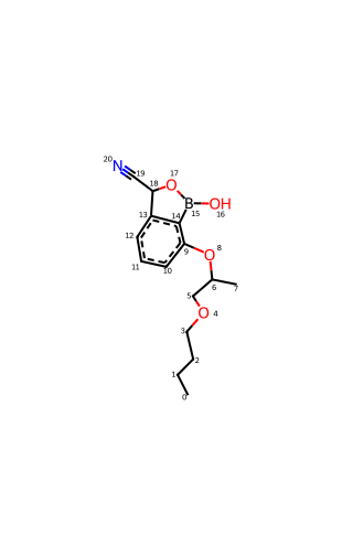 CCCCOCC(C)Oc1cccc2c1B(O)OC2C#N